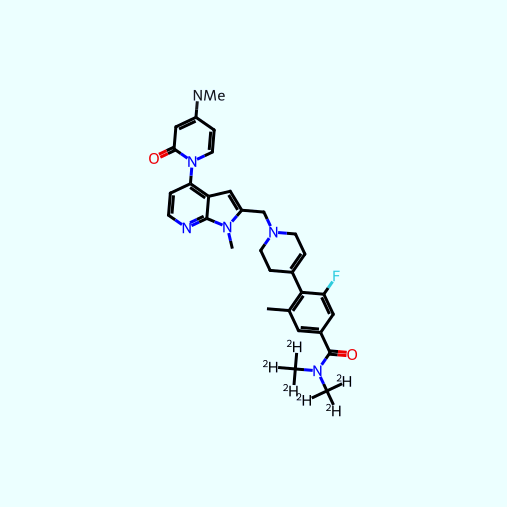 [2H]C([2H])([2H])N(C(=O)c1cc(C)c(C2=CCN(Cc3cc4c(-n5ccc(NC)cc5=O)ccnc4n3C)CC2)c(F)c1)C([2H])([2H])[2H]